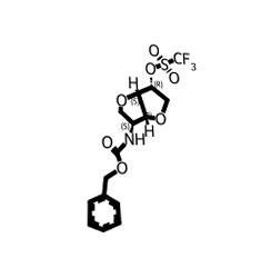 O=C(N[C@H]1CO[C@H]2[C@@H]1OC[C@H]2OS(=O)(=O)C(F)(F)F)OCc1ccccc1